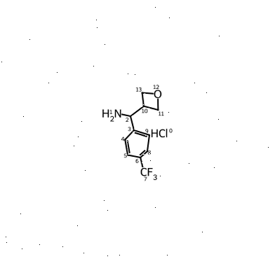 Cl.NC(c1ccc(C(F)(F)F)cc1)C1COC1